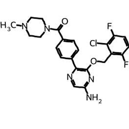 CN1CCN(C(=O)c2ccc(-c3ncc(N)nc3OCc3c(F)ccc(F)c3Cl)cc2)CC1